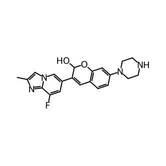 Cc1cn2cc(C3=Cc4ccc(N5CCNCC5)cc4OC3O)cc(F)c2n1